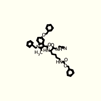 Cc1c(C(=O)NC(CCCCNC(=O)OCc2ccccc2)C(=O)NCC#N)c2cc(OCc3ccccc3)ccc2n1Cc1ccccc1